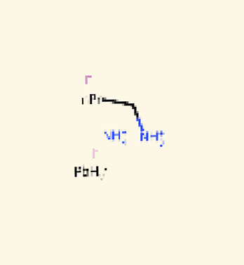 CCCC[NH3+].[I-].[I-].[NH4+].[PbH2]